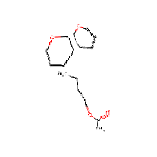 C1CCOCC1.C1CCOCC1.CCCCOC(C)=O